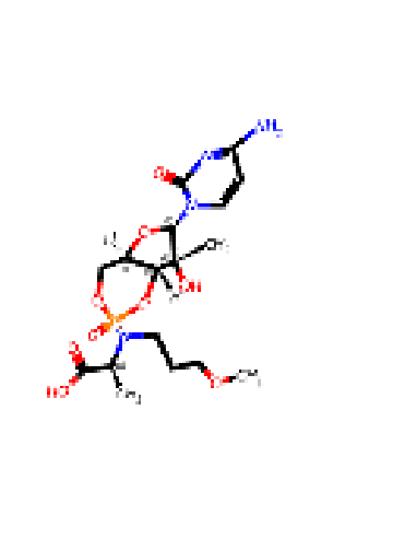 COCCCN([C@@H](C)C(=O)O)P1(=O)OC[C@H]2O[C@@H](n3ccc(N)nc3=O)[C@](C)(O)[C@@H]2O1